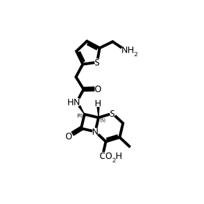 CC1=C(C(=O)O)N2C(=O)[C@@H](NC(=O)Cc3ccc(CN)s3)[C@@H]2SC1